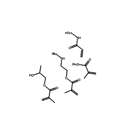 C=C(C)C(=O)OC.C=C(C)C(=O)OCC(C)O.C=C(C)C(=O)OCCNC(C)(C)C.C=CC(=O)NCCCCCCCC